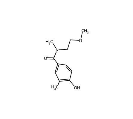 COCCN(C)C(=O)c1ccc(O)c(C)c1